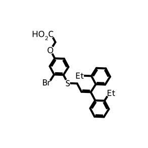 CCc1ccccc1C(=CCSc1ccc(OCC(=O)O)cc1Br)c1ccccc1CC